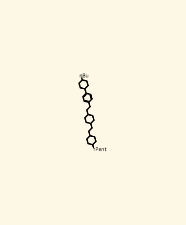 CCCCCC1CCC(CCC2CCC(CCc3ccc(C4CCC(CCCC)CC4)cc3)CC2)CC1